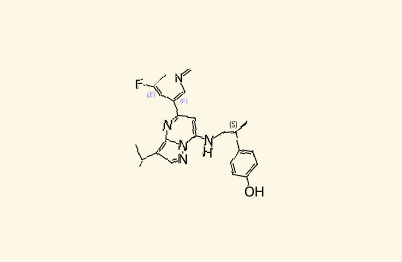 C=N/C=C(\C=C(/C)F)c1cc(NC[C@@H](C)c2ccc(O)cc2)n2ncc(C(C)C)c2n1